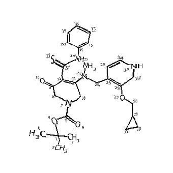 CC(C)(C)OC(=O)N1CC(=O)C(C(=S)Nc2ccccc2)=C(N(N)CC2=C(OCC3CC3)CNC=C2)C1